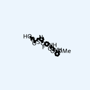 COc1ccccc1NC(=O)CC(=O)Nc1ccc(Oc2ccnc3cc(C(=O)N4CC(O)C4)sc23)c(F)c1